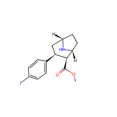 COC(=O)[C@H]1[C@@H](c2ccc(I)cc2)C[C@@H]2CC[C@H]1N2